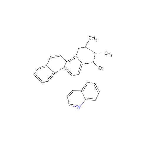 CCC1c2ccc3c(ccc4ccccc43)c2CC(C)C1C.c1ccc2ncccc2c1